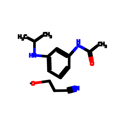 CC(=O)Nc1cccc(NC(C)C)c1.N#CCC[O]